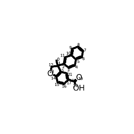 CC1(c2ccc3ccccc3c2)COc2ccc(C(=O)O)cc21